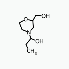 CCC(O)N1CCOC(CO)C1